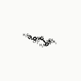 Cc1nc2cnc(N)c(C#Cc3cncc(C(=O)Nc4ccc(CN5CCN(C)CC5)c(C(F)(F)F)c4)c3)c2nc1C